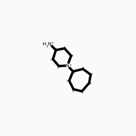 NC1CCN(C2CCCCCC2)CC1